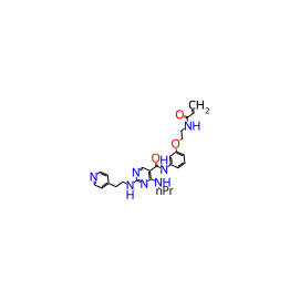 C=CC(=O)NCCOc1cccc(NC(=O)c2cnc(NCCc3ccncc3)nc2NCCC)c1